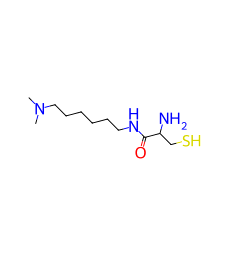 CN(C)CCCCCCNC(=O)C(N)CS